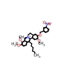 CCCCCCc1c2[n+](cc3c(OC)c(OC)ccc13)CCc1cc(OCc3cccc([N+](=O)[O-])c3)c(OC)cc1-2